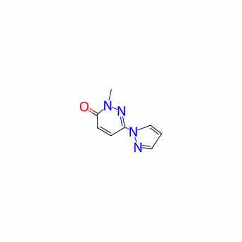 Cn1nc(-n2cccn2)ccc1=O